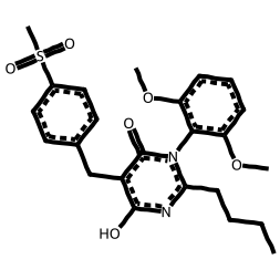 CCCCc1nc(O)c(Cc2ccc(S(C)(=O)=O)cc2)c(=O)n1-c1c(OC)cccc1OC